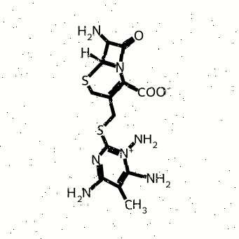 Cc1c(N)nc(SCC2=C(C(=O)[O-])N3C(=O)C(N)[C@H]3SC2)[n+](N)c1N